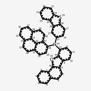 c1ccc2c(c1)ccc1c3cccc(N(c4ccc5sc6ccccc6c5c4)c4ccc5ccc6cccc7ccc4c5c67)c3oc21